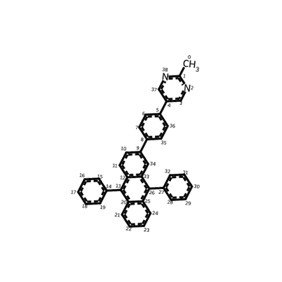 Cc1ncc(-c2ccc(-c3ccc4c(-c5ccccc5)c5ccccc5c(-c5ccccc5)c4c3)cc2)cn1